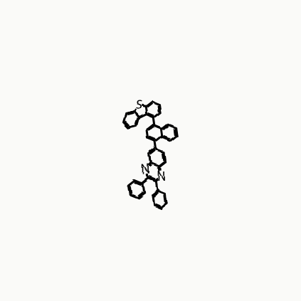 c1ccc(-c2nc3ccc(-c4ccc(-c5cccc6sc7ccccc7c56)c5ccccc45)cc3nc2-c2ccccc2)cc1